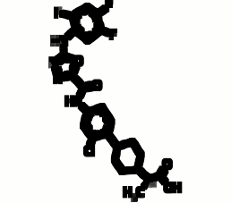 C[C@H](C(=O)O)C1CCC(c2ccc(NC(=O)c3nnc(Nc4cc(F)c(F)cc4F)o3)cc2Cl)CC1